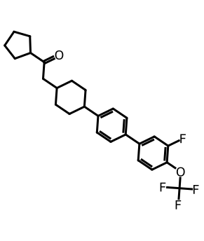 O=C(CC1CCC(c2ccc(-c3ccc(OC(F)(F)F)c(F)c3)cc2)CC1)C1CCCC1